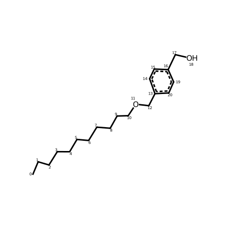 CCCCCCCCCCCOCc1ccc(CO)cc1